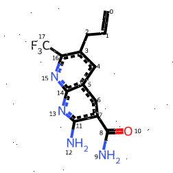 C=CCc1cc2cc(C(N)=O)c(N)nc2nc1C(F)(F)F